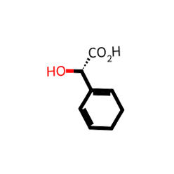 O=C(O)[C@@H](O)C1=CCCC=C1